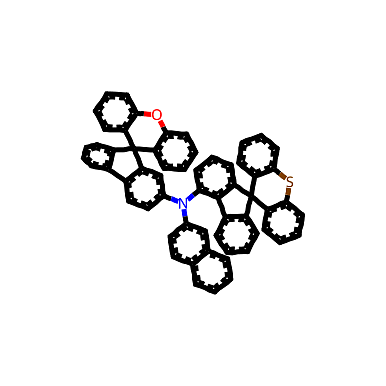 c1ccc2c(c1)Oc1ccccc1C21c2ccccc2-c2ccc(N(c3ccc4ccccc4c3)c3cccc4c3-c3ccccc3C43c4ccccc4Sc4ccccc43)cc21